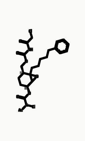 CC(=O)N(Cl)C(=O)O[C@H]1CC[C@@H](COC(=O)NC(=O)CCl)C2(CCCCCc3ccccc3)OC12